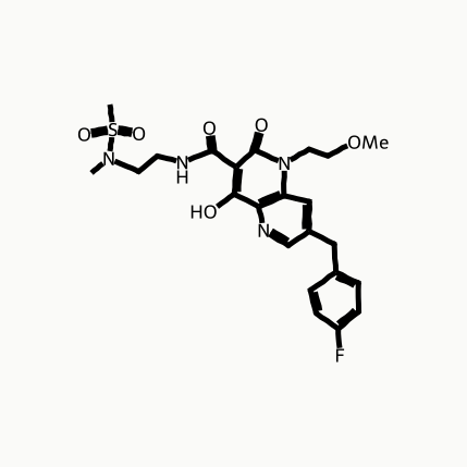 COCCn1c(=O)c(C(=O)NCCN(C)S(C)(=O)=O)c(O)c2ncc(Cc3ccc(F)cc3)cc21